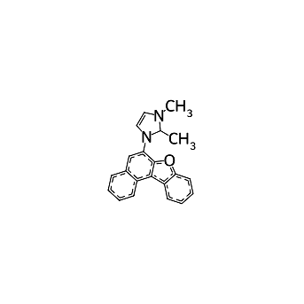 CC1N(C)C=CN1c1cc2ccccc2c2c1oc1ccccc12